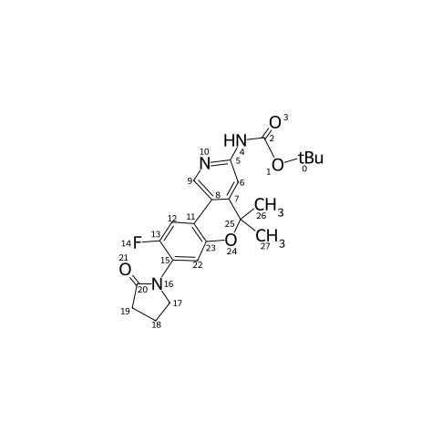 CC(C)(C)OC(=O)Nc1cc2c(cn1)-c1cc(F)c(N3CCCC3=O)cc1OC2(C)C